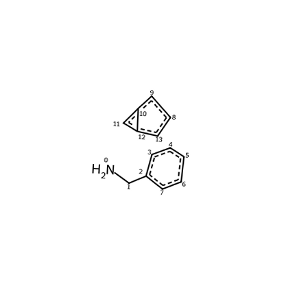 NCc1ccccc1.c1cc2cc-2c1